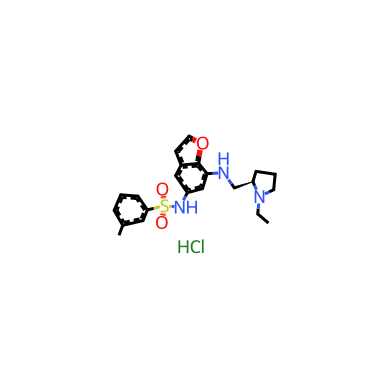 CCN1CCC[C@@H]1CNc1cc(NS(=O)(=O)c2cccc(C)c2)cc2ccoc12.Cl